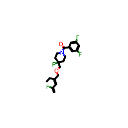 C=C(F)/C=C(\CC)COCC1(F)CCN(C(=O)c2cc(F)cc(F)c2)CC1